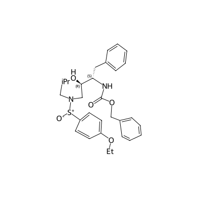 CCOc1ccc([S+]([O-])N(CC(C)C)C[C@@H](O)[C@H](Cc2ccccc2)NC(=O)OCc2ccccc2)cc1